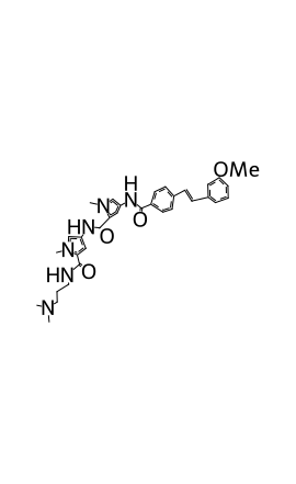 COc1cccc(C=Cc2ccc(C(=O)Nc3cc(C(=O)Nc4cc(C(=O)NCCCN(C)C)n(C)c4)n(C)c3)cc2)c1